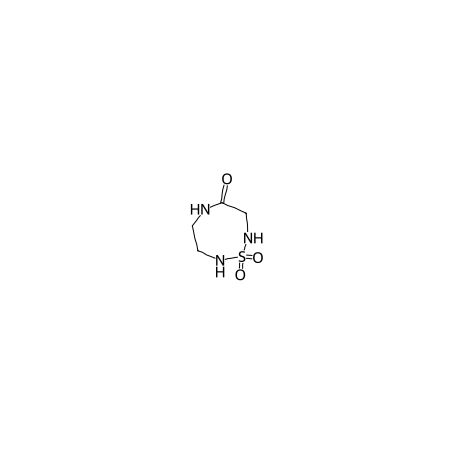 O=C1CNS(=O)(=O)NCCN1